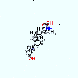 C=C1CC[C@H](O)C/C1=C/C=C1CCC[C@@]2(C)C1CC[C@@H]2[C@H](C)CCCC(C)(C)NC(=O)O